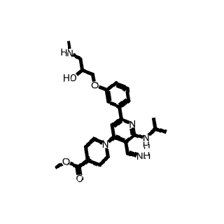 CNCC(O)COc1cccc(-c2cc(N3CCC(C(=O)OC)CC3)c(C=N)c(NC(C)C)n2)c1